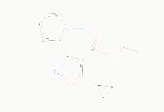 CCOC(=O)c1c(-c2c(F)cccc2Cl)noc1C1CC1